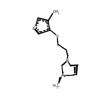 Cc1cscc1OCCN1C=CN(C)C1